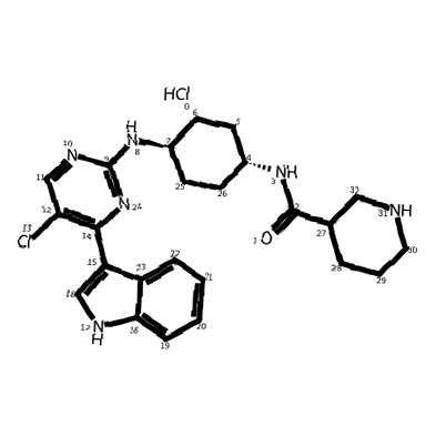 Cl.O=C(N[C@H]1CC[C@H](Nc2ncc(Cl)c(-c3c[nH]c4ccccc34)n2)CC1)C1CCCNC1